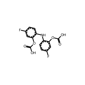 O=C(O)Oc1cc(F)ccc1Nc1ccc(F)cc1OC(=O)O